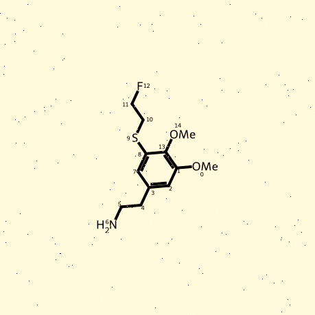 COc1cc(CCN)cc(SCCF)c1OC